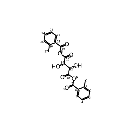 Cc1ccccc1C(=O)OC(=O)[C@H](O)[C@@H](O)C(=O)OC(=O)c1ccccc1C